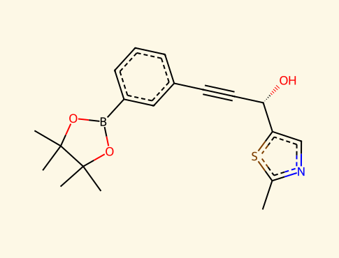 Cc1ncc([C@@H](O)C#Cc2cccc(B3OC(C)(C)C(C)(C)O3)c2)s1